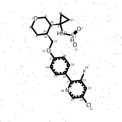 O=[SH](=O)NC1([C@@H]2COCC[C@@H]2COc2ccc(-c3ncc(Cl)cc3F)cc2)CC1